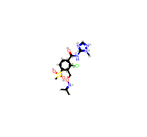 CC(C)=NOCc1c(S(C)(=O)=O)ccc(C(=O)Nc2ncnn2C)c1Cl